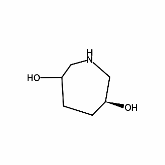 OC1CC[C@H](O)CNC1